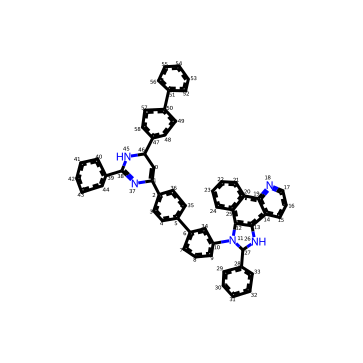 C1=C(c2ccc(-c3cccc(N4c5c(c6cccnc6c6ccccc56)NC4c4ccccc4)c3)cc2)N=C(c2ccccc2)NC1c1ccc(-c2ccccc2)cc1